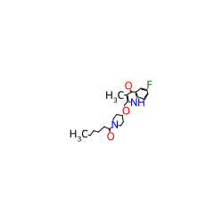 CCCCCC(=O)N1CCC(OCc2[nH]c3ccc(F)cc3c(=O)c2C)CC1